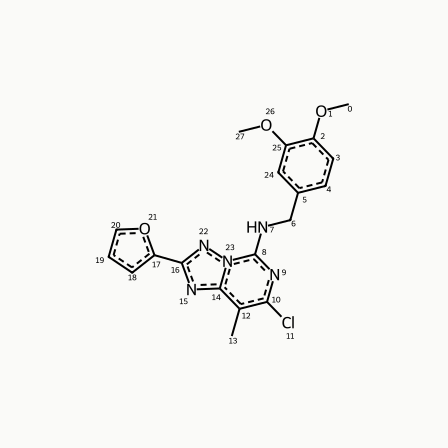 COc1ccc(CNc2nc(Cl)c(C)c3nc(-c4ccco4)nn23)cc1OC